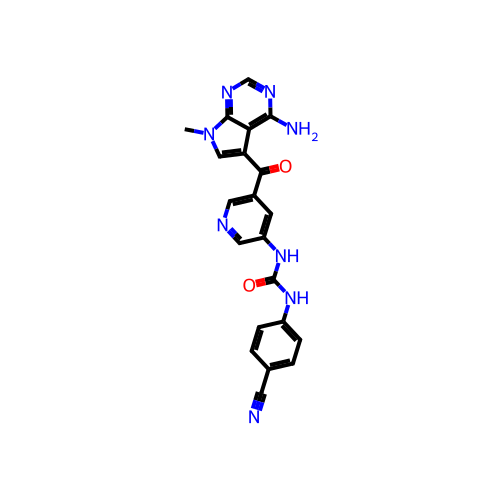 Cn1cc(C(=O)c2cncc(NC(=O)Nc3ccc(C#N)cc3)c2)c2c(N)ncnc21